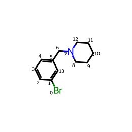 Brc1cccc(CN2CC[CH]CC2)c1